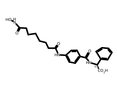 O=C(CCCCCCC(=O)Nc1ccc(C(=O)N[C@H](C(=O)O)c2ccccc2)cc1)NO